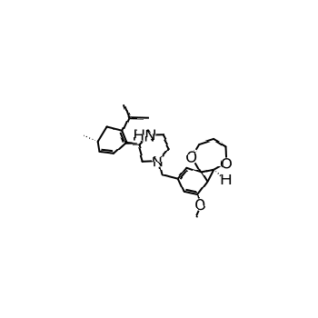 COC1=CC(CN2CCN[C@H](C3=C(C(C)C)C[C@@H](C)C=C3)C2)=CC23OCCCO[C@H]2C13